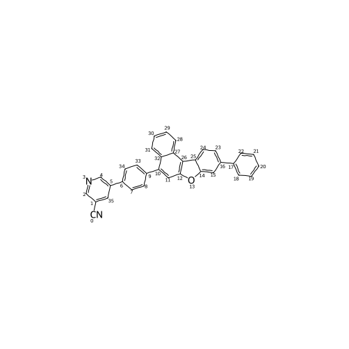 N#Cc1cncc(-c2ccc(-c3cc4oc5cc(-c6ccccc6)ccc5c4c4ccccc34)cc2)c1